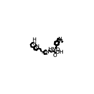 Cn1ncc2ccc(C(=O)N[C@H](CCN3CC[C@@H](CCc4ccc5c(n4)NCCC5)C3)C(=O)O)cc21